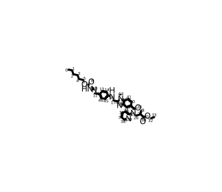 CCCCCCOC(=O)NN=Cc1ccc(NCc2nc3cc(C(=O)N(CC(C)C(=O)OCC)c4ccccn4)ccc3n2C)cc1